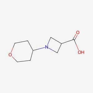 O=C(O)C1CN(C2CCOCC2)C1